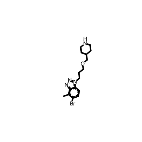 Cc1c(Br)ccc2c1nnn2CCCOCC1CCNCC1